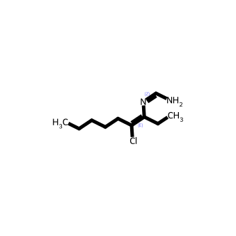 CCCCC/C(Cl)=C(CC)\N=C/N